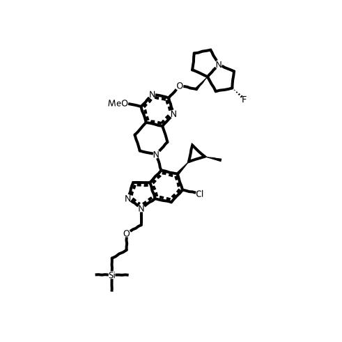 COc1nc(OC[C@@]23CCCN2C[C@H](F)C3)nc2c1CCN(c1c([C@H]3C[C@H]3C)c(Cl)cc3c1cnn3COCC[Si](C)(C)C)C2